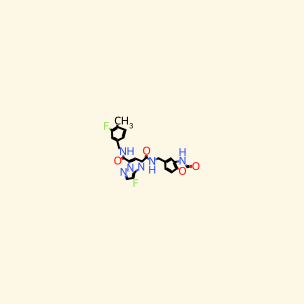 Cc1ccc(CNC(=O)c2cc(C(=O)NCc3ccc4oc(=O)[nH]c4c3)nc3c(F)cnn23)cc1F